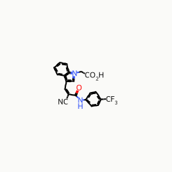 N#CC(=Cc1cn(CC(=O)O)c2ccccc12)C(=O)Nc1ccc(C(F)(F)F)cc1